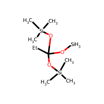 CCC(O[SiH3])(O[Si](C)(C)C)O[Si](C)(C)C